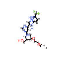 COCCOC1CC(CO)CN(c2cc(-c3cnc(/C=C\C(=N)C(F)F)[nH]3)ncn2)C1